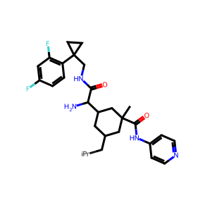 CC(C)CC1CC(C(N)C(=O)NCC2(c3ccc(F)cc3F)CC2)CC(C)(C(=O)Nc2ccncc2)C1